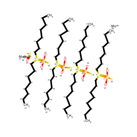 CCCCCCCCS(CCCCCCCC)=P([O-])([O-])[S-].CCCCCCCCS(CCCCCCCC)=P([O-])([O-])[S-].CCCCCCCCS(CCCCCCCC)=P([O-])([O-])[S-].CCCCCCCCS(CCCCCCCC)=P([O-])([O-])[S-].O=S.[Mo+4].[Mo+4].[Mo+4]